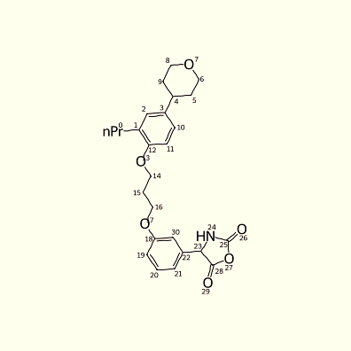 CCCc1cc(C2CCOCC2)ccc1OCCCOc1cccc(C2NC(=O)OC2=O)c1